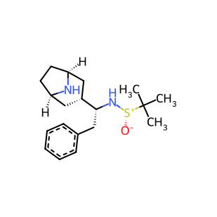 CC(C)(C)[S@+]([O-])N[C@H](Cc1ccccc1)[C@@H]1C[C@H]2CC[C@@H](C1)N2